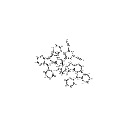 N#Cc1cc(C#N)c(-n2c3ccccc3c3c2ccc2c4ccccc4n(-c4ccccc4)c23)c(-n2c3ccccc3c3c2ccc2c4ccccc4n(-c4ccccc4)c23)c1-c1ccccc1